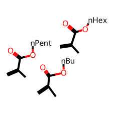 C=C(C)C(=O)OCCCC.C=C(C)C(=O)OCCCCC.C=C(C)C(=O)OCCCCCC